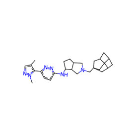 Cc1cnn(C)c1-c1ccc(NC2CCC3CN(CC45CC6CC7CC(C4)C76C5)CC32)nn1